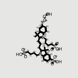 CC1(C)C(C=CCC2N(CCCCS(=O)(=O)O)c3ccc(S(=O)(=O)O)cc3C2(C)C)=[N+](CCCCS(=O)(=O)O)c2ccc(SOOO)cc21